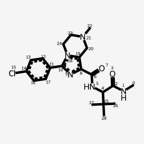 CNC(=O)C(NC(=O)c1nc(-c2ccc(Cl)cc2)n2c1CN(C)CC2)C(C)(C)C